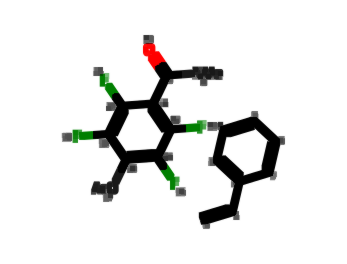 C=Cc1ccccc1.CNC(=O)c1c(F)c(F)c(OC(C)=O)c(F)c1F